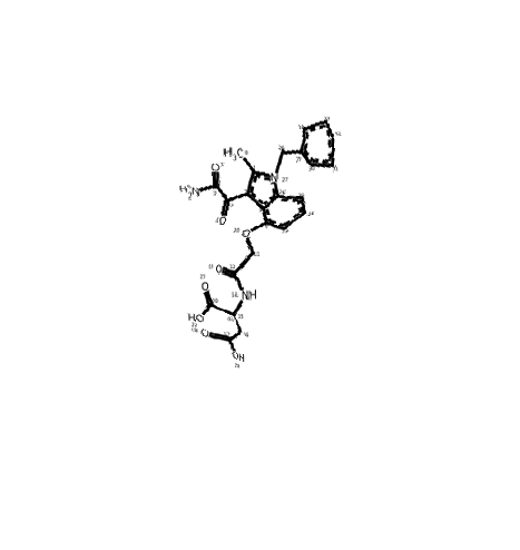 Cc1c(C(=O)C(N)=O)c2c(OCC(=O)N[C@@H](CC(=O)O)C(=O)O)cccc2n1Cc1ccccc1